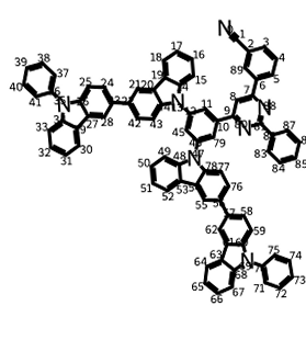 N#Cc1cccc(-c2cc(-c3cc(-n4c5ccccc5c5cc(-c6ccc7c(c6)c6ccccc6n7-c6ccccc6)ccc54)cc(-n4c5ccccc5c5cc(-c6ccc7c(c6)c6ccccc6n7-c6ccccc6)ccc54)c3)nc(-c3ccccc3)n2)c1